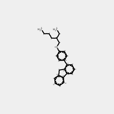 CCCCC(CC)COc1ccc(-c2cccc3c2Cc2ccccc2-3)cc1